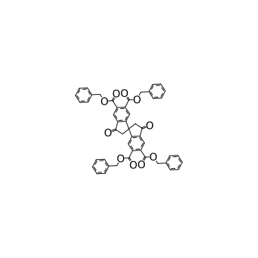 O=C(OCc1ccccc1)c1cc2c(cc1C(=O)OCc1ccccc1)C1(CC2=O)CC(=O)c2cc(C(=O)OCc3ccccc3)c(C(=O)OCc3ccccc3)cc21